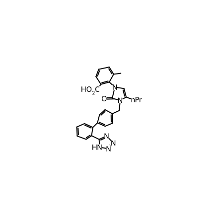 CCCc1cn(-c2c(C)cccc2C(=O)O)c(=O)n1Cc1ccc(-c2ccccc2-c2nnn[nH]2)cc1